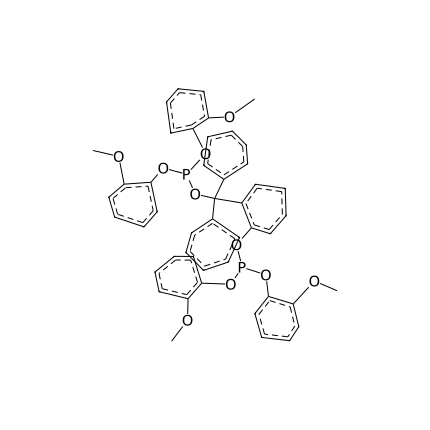 COc1ccccc1OP(Oc1ccccc1OC)Oc1ccccc1C(OP(Oc1ccccc1OC)Oc1ccccc1OC)(c1ccccc1)c1ccccc1